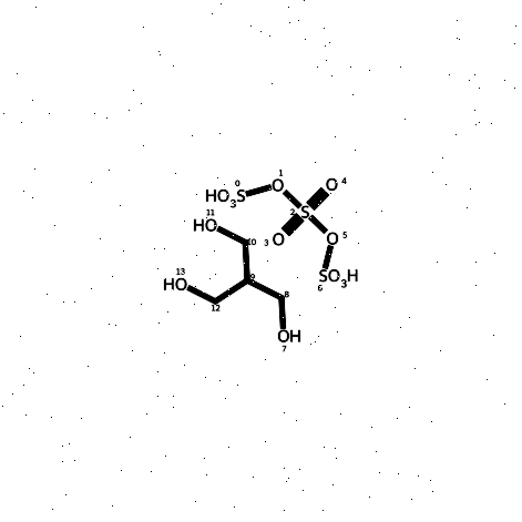 O=S(=O)(O)OS(=O)(=O)OS(=O)(=O)O.OCC(CO)CO